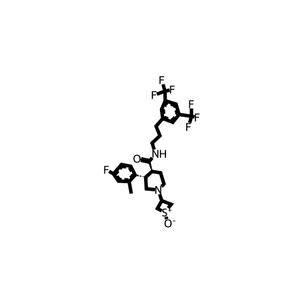 Cc1cc(F)ccc1[C@H]1CN(C2C[S+]([O-])C2)CC[C@@H]1C(=O)NCCCc1cc(C(F)(F)F)cc(C(F)(F)F)c1